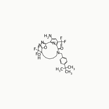 CC(C)(C)c1ccc(CN2CCCCC[C@](O)(C(F)(F)F)c3nnc(o3)-c3nc(c(C(F)(F)F)cc3N)C2=O)cc1